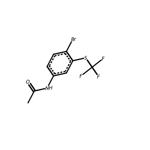 CC(=O)Nc1ccc(Br)c(SC(F)(F)F)c1